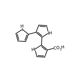 O=C(O)C1=C(C2=C(C3=CC=C[IH]3)C=C[IH]2)[IH]C=C1